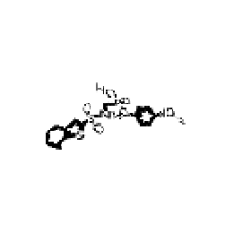 O=[N+]([O-])c1ccc(OP(=O)(O)CNS(=O)(=O)c2cc3ccccc3s2)cc1